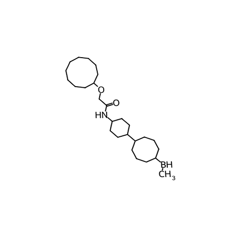 CBC1CCCC(C2CCC(NC(=O)COC3CCCCCCCCC3)CC2)CCC1